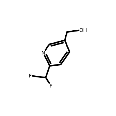 OCc1ccc(C(F)F)nc1